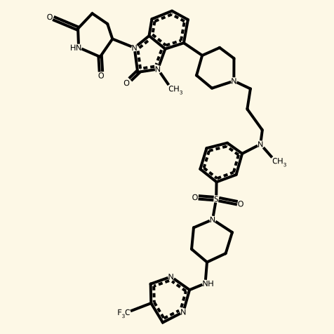 CN(CCCN1CCC(c2cccc3c2n(C)c(=O)n3C2CCC(=O)NC2=O)CC1)c1cccc(S(=O)(=O)N2CCC(Nc3ncc(C(F)(F)F)cn3)CC2)c1